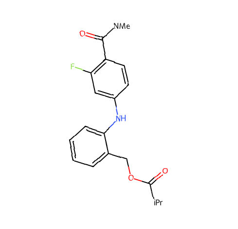 CNC(=O)c1ccc(Nc2ccccc2COC(=O)C(C)C)cc1F